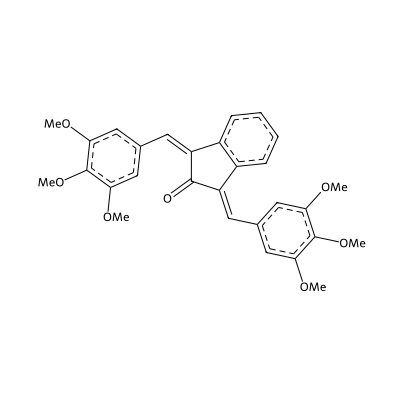 COc1cc(/C=C2\C(=O)/C(=C/c3cc(OC)c(OC)c(OC)c3)c3ccccc32)cc(OC)c1OC